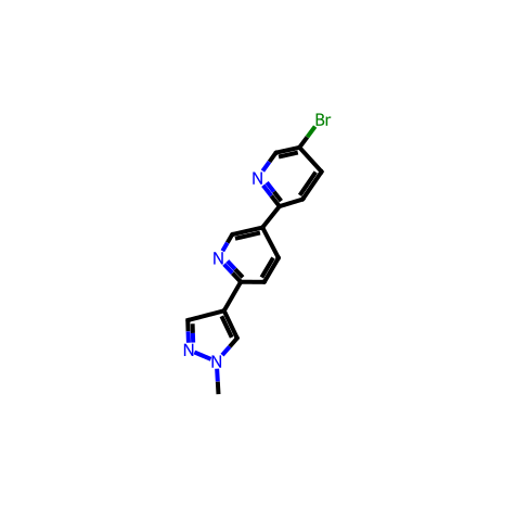 Cn1cc(-c2ccc(-c3ccc(Br)cn3)cn2)cn1